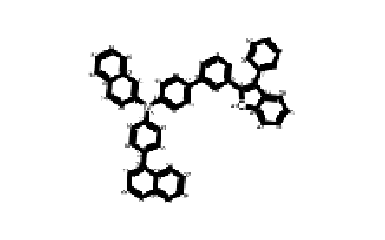 c1ccc(-c2c(-c3cccc(-c4ccc(N(c5ccc(-c6cccc7ccccc67)cc5)c5ccc6ccccc6c5)cc4)c3)oc3ccccc23)cc1